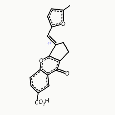 Cc1ccc(/C=C2\CCc3c2oc2ccc(C(=O)O)cc2c3=O)o1